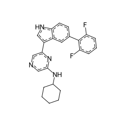 Fc1cccc(F)c1-c1ccc2[nH]cc(-c3cncc(NC4CCCCC4)n3)c2c1